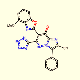 COc1cccc2oc(-c3c(-c4nn[nH]n4)[nH]n4c(-c5ccccc5)c(C#N)nc4c3=O)nc12